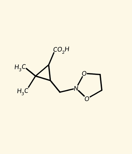 CC1(C)C(CN2OCCO2)C1C(=O)O